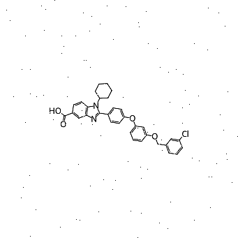 O=C(O)c1ccc2c(c1)nc(-c1ccc(Oc3cccc(OCc4cccc(Cl)c4)c3)cc1)n2C1CCCCC1